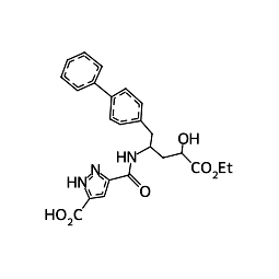 CCOC(=O)C(O)CC(Cc1ccc(-c2ccccc2)cc1)NC(=O)c1cc(C(=O)O)[nH]n1